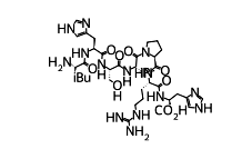 CC[C@H](C)[C@H](N)C(=O)N[C@@H](Cc1c[nH]cn1)C(=O)N[C@@H](CO)C(=O)N[C@H](C(=O)N1CCC[C@H]1C(=O)N[C@@H](CCCNC(=N)N)C(=O)N[C@@H](Cc1c[nH]cn1)C(=O)O)C(C)C